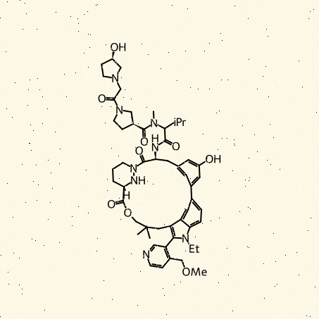 CCn1c(-c2cnccc2COC)c2c3cc(ccc31)-c1cc(O)cc(c1)C[C@H](NC(=O)C(C(C)C)N(C)C(=O)[C@H]1CCN(C(=O)CN3CC[C@@H](O)C3)C1)C(=O)N1CCC[C@H](N1)C(=O)OCC(C)(C)C2